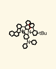 CC(C)(C)c1ccc(N2c3cc(N(c4ccccc4)c4ccccc4)ccc3B3c4c2cc2ccccc2c4-c2cccc4c5c6ccccc6ccc5n3c24)c(-c2ccccc2)c1